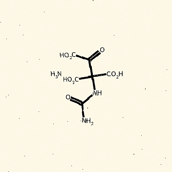 N.NC(=O)NC(C(=O)O)(C(=O)O)C(=O)C(=O)O